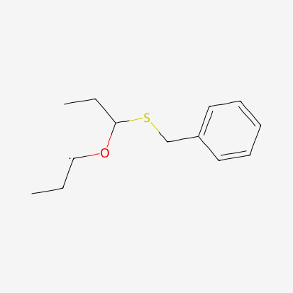 CC[CH]OC(CC)SCc1ccccc1